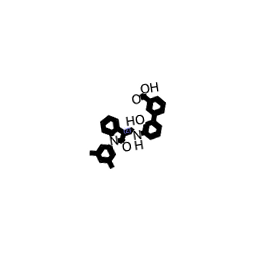 Cc1cc(C)cc(N2C(=O)/C(=C\Nc3cccc(-c4cccc(C(=O)O)c4)c3O)c3ccccc32)c1